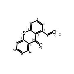 C=Cc1cccc2sc3ccccc3c(=O)c12